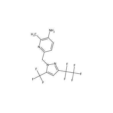 Cc1nc(Cn2nc(C(F)(F)C(F)(F)F)cc2C(F)(F)F)ccc1N